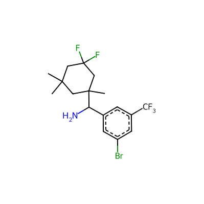 CC1(C)CC(F)(F)CC(C)(C(N)c2cc(Br)cc(C(F)(F)F)c2)C1